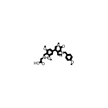 COc1ccc(Cn2ncc3c(-c4cc(OC)c(CNCC(=O)O)c(OC)c4)cn(C)c(=O)c32)cc1